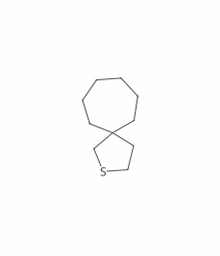 C1CCCC2(CC1)CCSC2